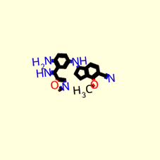 COc1c(C#N)ccc2c1CCC2Nc1ccc(N)c(C(=N)c2cnco2)c1